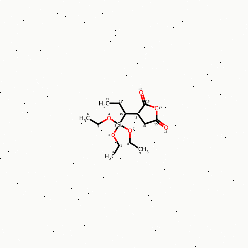 CCO[Si](OCC)(OCC)C(CC)C1CC(=O)OC1=O